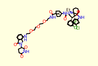 CCN1[C@@H](C(=O)NC23CCC(C(=O)NCCOCCOCCOCCNc4cccc5c4CN(C4CCC(=O)NC4=O)C5=O)(CC2)CC3)[C@H](c2cccc(Cl)c2F)[C@]2(C(=O)Nc3cc(Cl)ccc32)C12CCCCC2